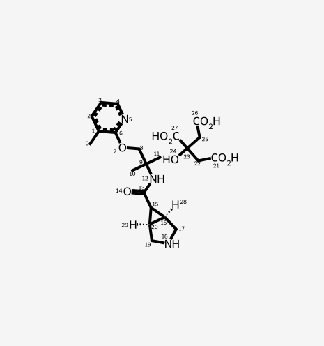 Cc1cccnc1OCC(C)(C)NC(=O)C1[C@H]2CNC[C@@H]12.O=C(O)CC(O)(CC(=O)O)C(=O)O